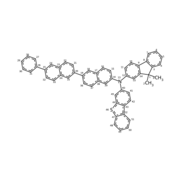 CC1(C)c2ccccc2-c2ccc(N(c3ccc4cc(-c5ccc6cc(-c7ccccc7)ccc6c5)ccc4c3)c3ccc4c(c3)sc3ccccc34)cc21